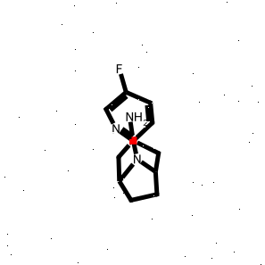 NN1CC2CCC(C1)N2c1ccc(F)cn1